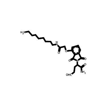 NCCCCCCCCNC(=O)COc1cccc2c1C(=O)N(C(CCC=O)C(N)=O)C2=O